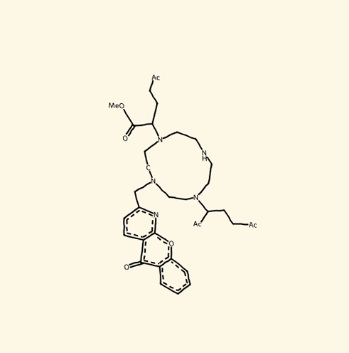 COC(=O)C(CCC(C)=O)N1CCNCCN(C(CCC(C)=O)C(C)=O)CCN(Cc2ccc3c(=O)c4ccccc4oc3n2)CC1